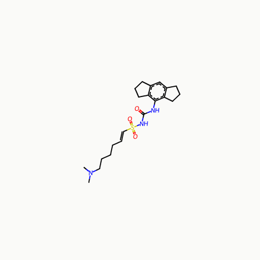 CN(C)CCCC/C=C/S(=O)(=O)NC(=O)Nc1c2c(cc3c1CCC3)CCC2